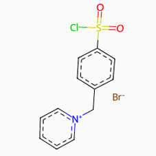 O=S(=O)(Cl)c1ccc(C[n+]2ccccc2)cc1.[Br-]